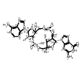 Nc1nc2c(ncn2[C@@H]2O[C@@H]3CO[PH](=O)O[C@H]4[C@@H](F)[C@H](n5cnc6c(N)ncnc65)O[C@@H]4CO[PH](=O)O[C@@H]2[C@@H]3F)c(=O)[nH]1